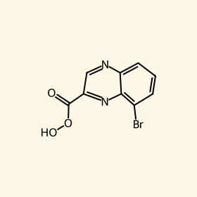 O=C(OO)c1cnc2cccc(Br)c2n1